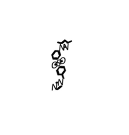 Cc1cc(C)n(-c2cccc(S(=O)(=O)c3ccc(Cn4ccnc4)cc3)c2)n1